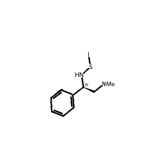 CNC[C@H](NSI)c1ccccc1